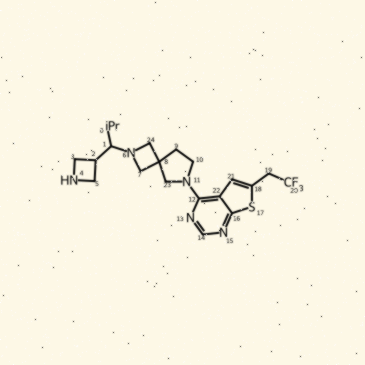 CC(C)C(C1CNC1)N1CC2(CCN(c3ncnc4sc(CC(F)(F)F)cc34)C2)C1